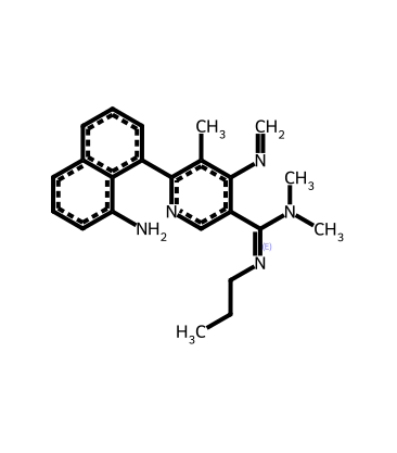 C=Nc1c(/C(=N\CCC)N(C)C)cnc(-c2cccc3cccc(N)c23)c1C